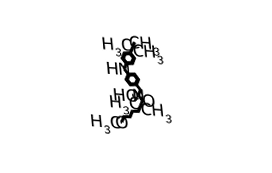 COCCCCC(C)(C)C(=O)N(O)Cc1ccc(Nc2ccc(C(C)(C)C)cc2)cc1